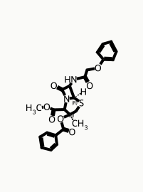 COC(=O)C1N2C(=O)C(NC(=O)COc3ccccc3)[C@H]2SC[C@@]1(C)OC(=O)c1ccccc1